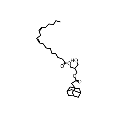 CCCCC/C=C\C/C=C\CCCCCCCC(=O)OCC(CO)COC(=O)CC12CC3CC(CC(C3)C1)C2